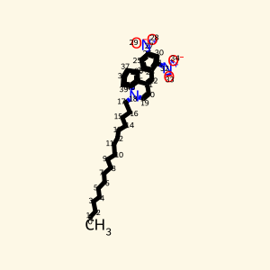 CCCCCCCCCCCCCCCCCCN1C=C/C(=C/c2ccc([N+](=O)[O-])cc2[N+](=O)[O-])c2ccccc21